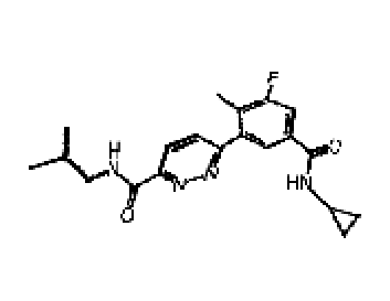 Cc1c(F)cc(C(=O)NC2CC2)cc1-c1ccc(C(=O)NCC(C)C)nn1